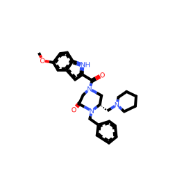 COc1ccc2[nH]c(C(=O)N3CC(=O)N(Cc4ccccc4)[C@@H](CN4CCCCC4)C3)cc2c1